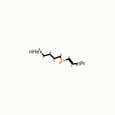 CCCC=C[P]CCCCCCCCCC